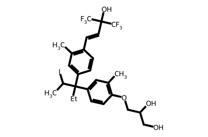 CCC(c1ccc(C=CC(O)(C(F)(F)F)C(F)(F)F)c(C)c1)(c1ccc(OCC(O)CO)c(C)c1)C(C)I